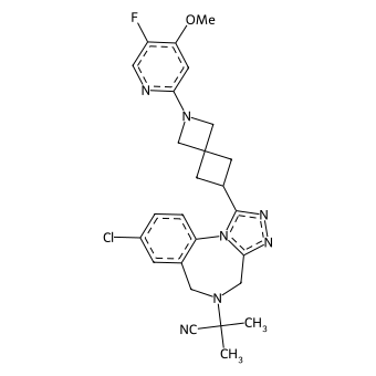 COc1cc(N2CC3(CC(c4nnc5n4-c4ccc(Cl)cc4CN(C(C)(C)C#N)C5)C3)C2)ncc1F